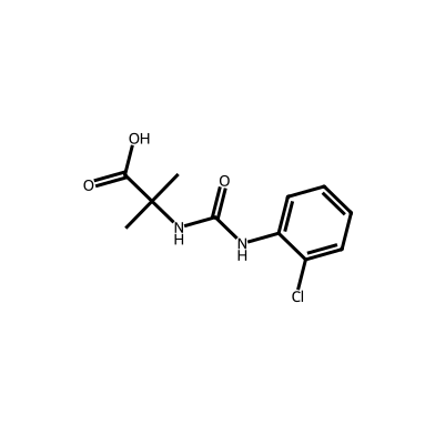 CC(C)(NC(=O)Nc1ccccc1Cl)C(=O)O